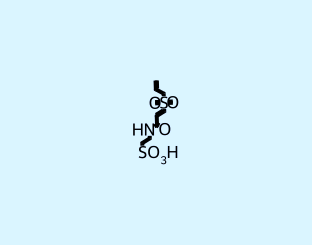 C=CCS(=O)(=O)/C=C/C(=O)NCCS(=O)(=O)O